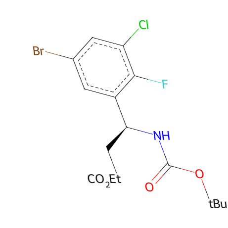 CCOC(=O)C[C@H](NC(=O)OC(C)(C)C)c1cc(Br)cc(Cl)c1F